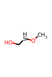 CO[SiH]CO